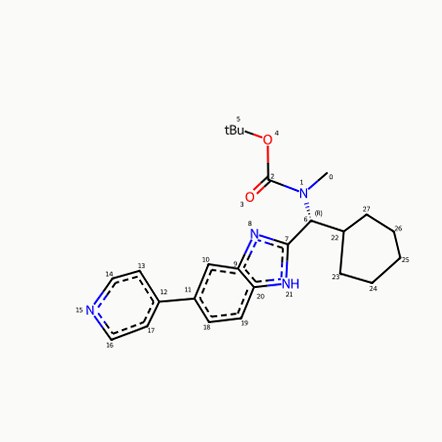 CN(C(=O)OC(C)(C)C)[C@@H](c1nc2cc(-c3ccncc3)ccc2[nH]1)C1CCCCC1